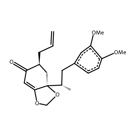 C=CC[C@H]1C[C@]2([C@@H](C)Cc3ccc(OC)c(OC)c3)OCOC2=CC1=O